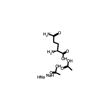 CC(=O)O.CC(=O)O.NC(=O)CC[C@H](N)C(=O)O.[NaH].[NaH]